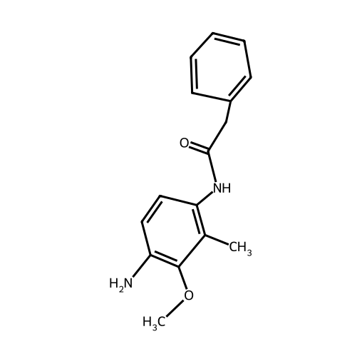 COc1c(N)ccc(NC(=O)Cc2ccccc2)c1C